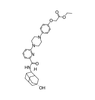 CCOC(=O)COc1ccc(N2CCN(c3cccc(C(=O)N[C@H]4C5CC6CC4C[C@](O)(C6)C5)n3)CC2)cc1